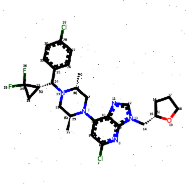 C[C@@H]1CN(c2cc(Cl)nc3c2ncn3C[C@@H]2CCCO2)[C@@H](C)CN1C(c1ccc(Cl)cc1)[C@@H]1CC1(F)F